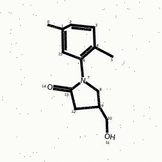 Cc1ccc(C)c(N2CC(CO)CC2=O)c1